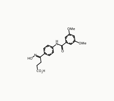 COc1cc(OC)cc(C(=O)Nc2ccc(/C(CCC(=O)O)=N/O)cc2)c1